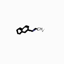 [CH2]/C=C/c1ccc2ccccc2c1